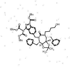 CC(C)(C)OC(=O)N(C(=O)OC(C)(C)C)c1nn(C(=O)OC(C)(C)C)c2ccc(CN3C(=O)N(CCCCO)[C@H](Cc4ccccc4)[C@@H]4OC(C)(C)O[C@H]4[C@H]3Cc3ccccc3)cc12